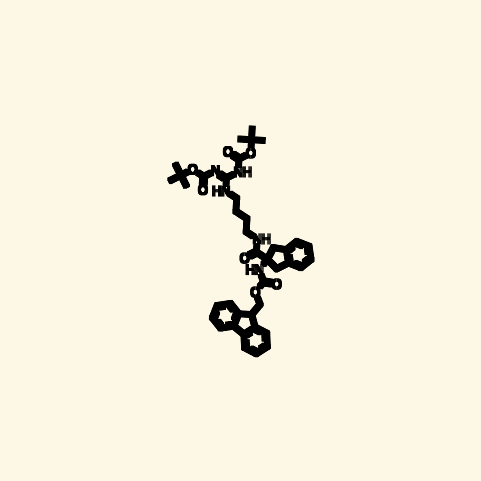 CC(C)(C)OC(=O)/N=C(\NCCCCNC(=O)C1(NC(=O)OCC2c3ccccc3-c3ccccc32)Cc2ccccc2C1)NC(=O)OC(C)(C)C